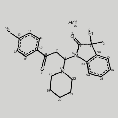 CCC1(C)C(=O)N(C(CC(=O)c2ccc(F)cc2)N2CCCCC2)c2ccccc21.Cl